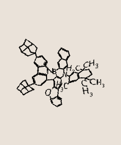 Cc1cc2c(cc1N1c3cc4ccccc4cc3B3c4c1cc1c(oc5ccccc51)c4-c1cc(C45CC6CC7CC(C4)C765)cc4c5cc(C67CC8CC9CC(C6)C98C7)ccc5n3c14)C(C)(C)CCC2(C)C